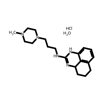 CN1CCN(CCCNC2=NC3CCCc4cccc(c43)N2)CC1.Cl.O